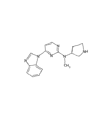 CN(c1nccc(-n2cnc3ccccc32)n1)C1CCNC1